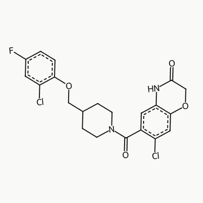 O=C1COc2cc(Cl)c(C(=O)N3CCC(COc4ccc(F)cc4Cl)CC3)cc2N1